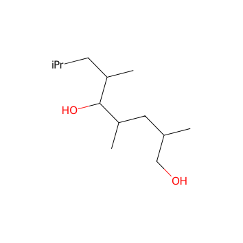 CC(C)CC(C)C(O)C(C)CC(C)CO